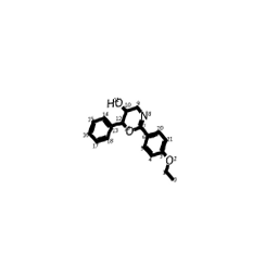 CCOc1ccc(C2=NCC(O)C(c3ccccc3)O2)cc1